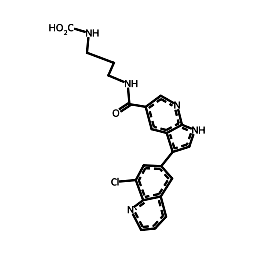 O=C(O)NCCCNC(=O)c1cnc2[nH]cc(-c3cc(Cl)c4ncccc4c3)c2c1